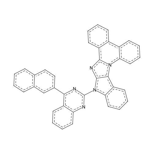 c1ccc2cc(-c3nc(-n4c5ccccc5c5c4nc4c6ccccc6c6ccccc6n45)nc4ccccc34)ccc2c1